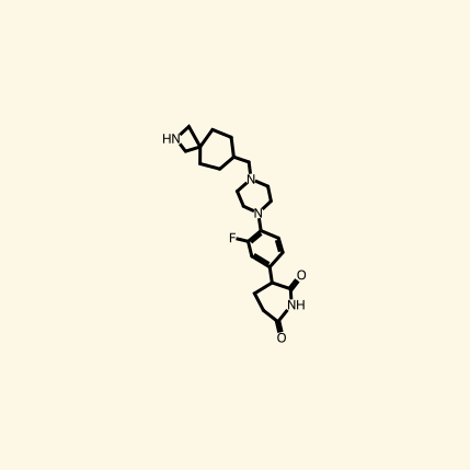 O=C1CCC(c2ccc(N3CCN(CC4CCC5(CC4)CNC5)CC3)c(F)c2)C(=O)N1